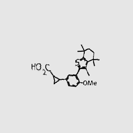 COc1ccc(C2CC2C(=O)O)cc1-c1sc2c(c1C)C(C)(C)CCC2(C)C